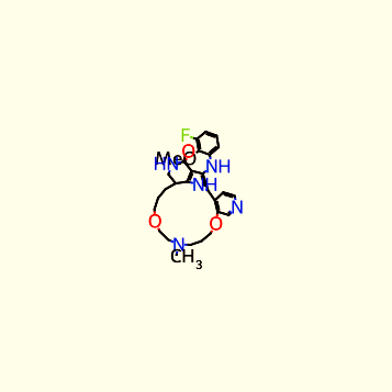 COc1c(F)cccc1Nc1c2[nH]c3c1C(=O)NCC3CCCOCCN(C)CCCOc1cnccc1-2